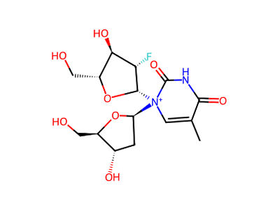 CC1=C[N+]([C@@H]2O[C@H](CO)[C@@H](O)[C@@H]2F)([C@H]2C[C@H](O)[C@@H](CO)O2)C(=O)NC1=O